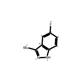 CC(C)(C)c1n[nH]c2ccc(F)cc12